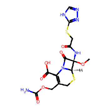 CO[C@@]1(NC(=O)CSc2nnc[nH]2)C(=O)N2C(C(=O)O)=C(COC(N)=O)CS[C@@H]21